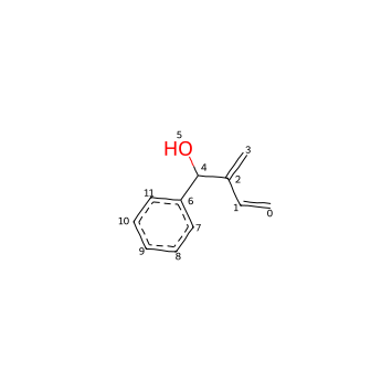 C=CC(=C)C(O)c1ccccc1